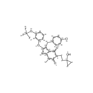 Cn1c(=O)n(CCC2(O)CC2)c(=O)c2c1nc(Oc1cccc(OC(F)(F)F)c1)n2Cc1ccc(Cl)cc1